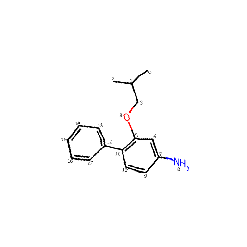 CC(C)COc1cc(N)ccc1-c1ccccc1